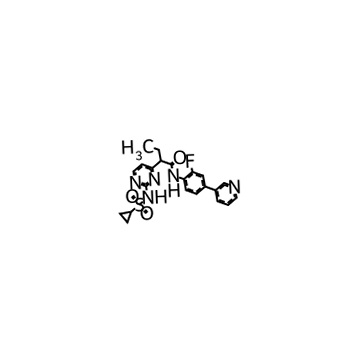 CCC(C(=O)Nc1ccc(-c2cccnc2)cc1F)c1ccnc(NS(=O)(=O)C2CC2)n1